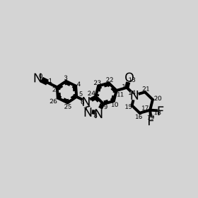 N#Cc1ccc(-n2nnc3cc(C(=O)N4CCC(F)(F)CC4)ccc32)cc1